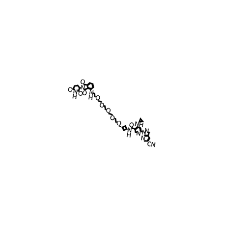 N#Cc1cnc2c(cnn2-c2cc(NC3CC3)c(C(=O)N[C@H]3C[C@H](COCCOCCOCCOCCOCCNc4cccc5c4C(=O)N(C4CCC(=O)NC4=O)C5=O)C3)cn2)c1